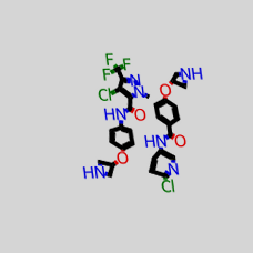 Cn1nc(C(F)(F)F)c(Cl)c1C(=O)Nc1ccc(OC2CNC2)cc1.O=C(Nc1ccc(Cl)nc1)c1ccc(OC2CNC2)cc1